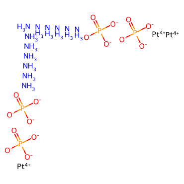 N.N.N.N.N.N.N.N.N.N.N.N.O=P([O-])([O-])[O-].O=P([O-])([O-])[O-].O=P([O-])([O-])[O-].O=P([O-])([O-])[O-].[Pt+4].[Pt+4].[Pt+4]